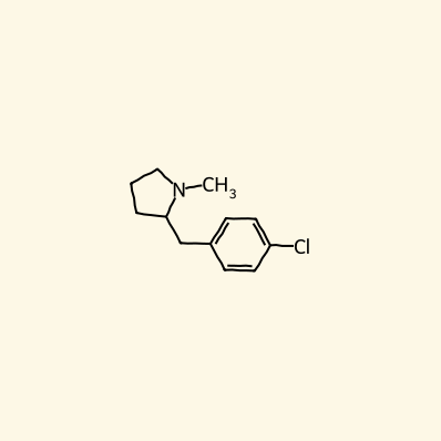 CN1CCCC1Cc1ccc(Cl)cc1